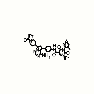 Cc1cn(C)nc1-n1c(=O)c(C(=O)Nc2ccc(-c3cc(C4CCN(C(=O)C(C)C)CC4)n4ncnc(N)c34)cc2)cn(C(C)C)c1=O